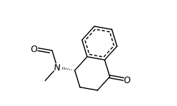 CN(C=O)[C@H]1CCC(=O)c2ccccc21